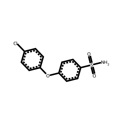 NS(=O)(=O)c1ccc(Oc2ccc(Cl)cc2)cc1